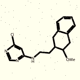 COC1Cc2ccccc2CC1CCNc1cc(Cl)ncn1